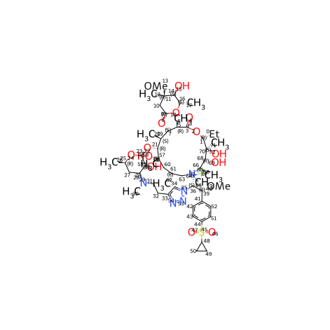 CC[C@H]1OC(=O)[C@H](C)[C@@H](O[C@H]2C[C@@](C)(OC)[C@@H](O)[C@H](C)O2)[C@H](C)[C@@H](O[C@@H]2O[C@H](C)C[C@H](N(C)CCc3cn([C@H](CF)[C@H](OC)c4ccc(S(=O)(=O)C5CC5)cc4)nn3)[C@H]2O)[C@](C)(O)C[C@@H](C)CN(C)[C@H](C)[C@@H](O)[C@]1(C)O